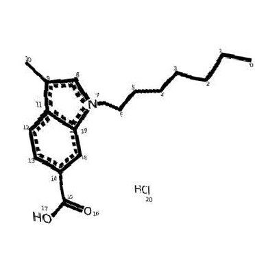 CCCCCCCn1cc(C)c2ccc(C(=O)O)cc21.Cl